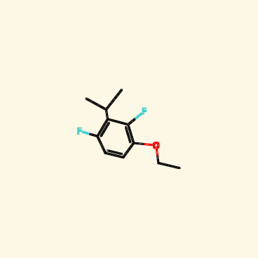 CCOc1ccc(F)c(C(C)C)c1F